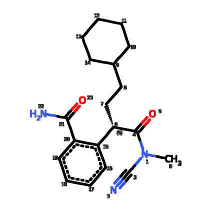 CN(C#N)C(=O)[C@@H](CCC1CCCCC1)c1ccccc1C(N)=O